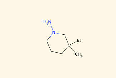 CCC1(C)CCCN(N)C1